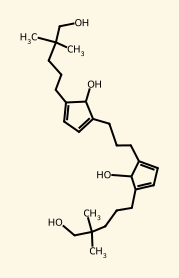 CC(C)(CO)CCCC1=CC=C(CCCC2=CC=C(CCCC(C)(C)CO)C2O)C1O